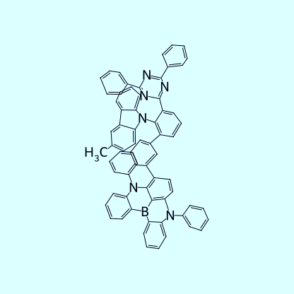 Cc1ccc2c(c1)c1ccccc1n2-c1c(-c2cccc(-c3ccc4c5c3N(c3ccccc3)c3ccccc3B5c3ccccc3N4c3ccccc3)c2)cccc1-c1nc(-c2ccccc2)nc(-c2ccccc2)n1